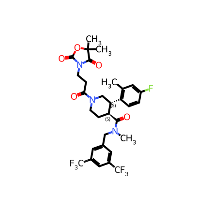 Cc1cc(F)ccc1[C@H]1CN(C(=O)CCN2C(=O)OC(C)(C)C2=O)CC[C@@H]1C(=O)N(C)Cc1cc(C(F)(F)F)cc(C(F)(F)F)c1